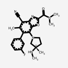 CN[C@@]1(C)CCN(c2c(-c3cccc(F)c3)c(C)c(C#N)c3nc(C(=O)N(C)C)oc23)C1